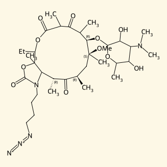 CCC1OC(=O)C(C)C(=O)C(C)[C@@H](OC2OC(C)C(O)C(N(C)C)C2O)[C@@](C)(OC)C[C@@H](C)C(=O)[C@H](C)C2N(CCCCN=[N+]=[N-])C(=O)OC12C